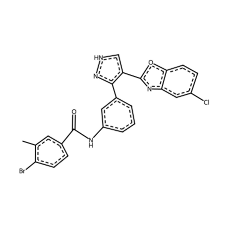 Cc1cc(C(=O)Nc2cccc(-c3n[nH]cc3-c3nc4cc(Cl)ccc4o3)c2)ccc1Br